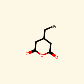 CC(C)CC1CC(=O)OC(=O)C1